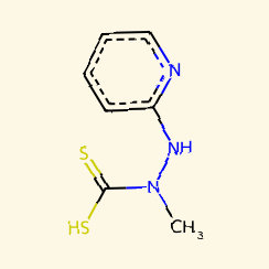 CN(Nc1ccccn1)C(=S)S